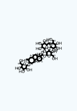 C=C1C[C@@]2(C)CC[C@H]3[C@@](C)(CCC[C@@]3(C)C(=O)OC3OC(CO)C(O)C(OC4OC(CO)C(O)C(O)C4O)C3OC3OC(CO)C(O)C(O)C3O)[C@@H]2CC[C@@]1(C)OC1OC(CO)C(O)C(O)C1O